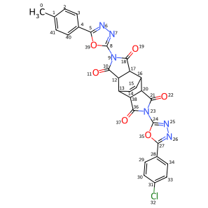 Cc1ccc(-c2nnc(N3C(=O)C4C5C=CC(C4C3=O)C3C(=O)N(c4nnc(-c6ccc(Cl)cc6)o4)C(=O)C53)o2)cc1